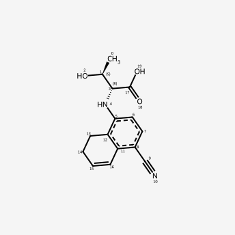 C[C@H](O)[C@@H](Nc1ccc(C#N)c2c1CCC=C2)C(=O)O